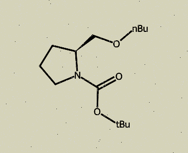 CCCCOC[C@@H]1CCCN1C(=O)OC(C)(C)C